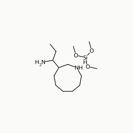 CCC(N)C1CCCCCCNC1.CO[SiH](OC)OC